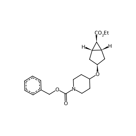 CCOC(=O)[C@H]1[C@@H]2C[C@@H](OC3CCN(C(=O)OCc4ccccc4)CC3)C[C@@H]21